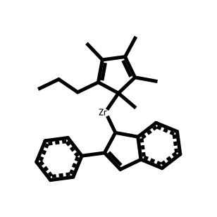 CCCC1=C(C)C(C)=C(C)[C]1(C)[Zr][CH]1C(c2ccccc2)=Cc2ccccc21